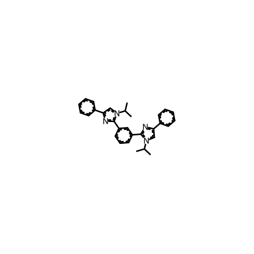 CC(C)n1cc(-c2ccccc2)nc1-c1cccc(-c2nc(-c3ccccc3)cn2C(C)C)c1